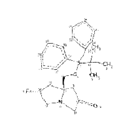 CC(C)(C)[Si](OC[C@@]12CC(=O)CN1C[C@H](F)C2)(c1ccccc1)c1ccccc1